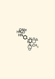 CONC(=O)Nc1ccc(-c2nc3c(c(N4CCOC[C@@H]4C)n2)CCC2(CC2)O3)cc1